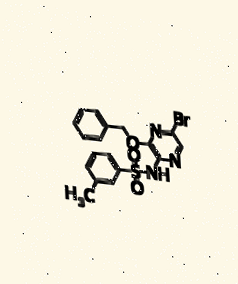 Cc1cccc(S(=O)(=O)Nc2ncc(Br)nc2OCc2ccccc2)c1